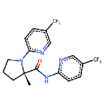 C[C@@]1(C(=O)Nc2ccc(C(F)(F)F)cn2)CCCN1c1ccc(C(F)(F)F)cn1